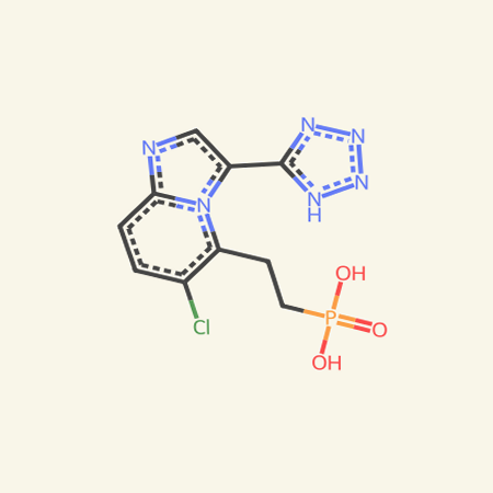 O=P(O)(O)CCc1c(Cl)ccc2ncc(-c3nnn[nH]3)n12